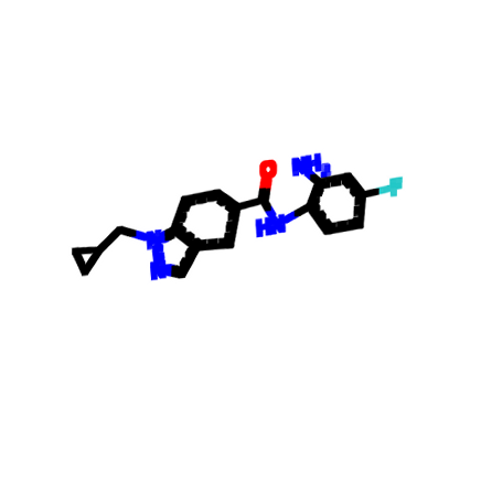 Nc1cc(F)ccc1NC(=O)c1ccc2c(cnn2CC2CC2)c1